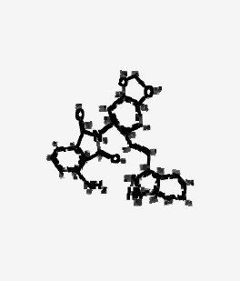 Nc1cccc2c1C(=O)N(c1cc3c(cc1C=Cc1n[nH]c4ccccc14)OCO3)C2=O